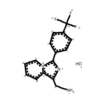 Cl.NCc1nc(-c2ccc(C(F)(F)F)cc2)n2ccccc12